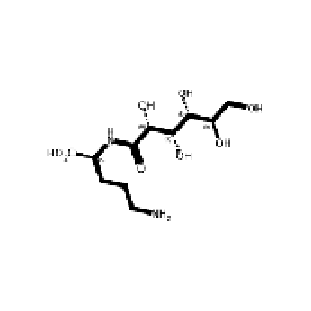 NCCC[C@H](NC(=O)[C@H](O)[C@@H](O)[C@H](O)[C@H](O)CO)C(=O)O